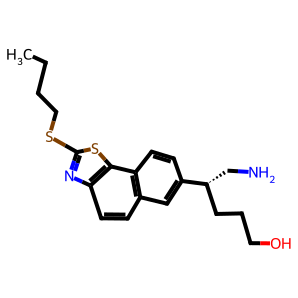 CCCCSc1nc2ccc3cc([C@H](CN)CCCO)ccc3c2s1